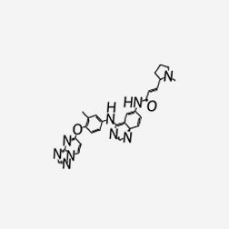 Cc1cc(Nc2ncnc3ccc(NC(=O)/C=C/C4CCCN4C)cc23)ccc1Oc1ccn2ncnc2n1